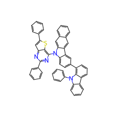 c1ccc(-c2nc(-n3c4ccc(-c5cccc6c7ccccc7n(-c7ccccc7)c56)cc4c4cc5ccccc5cc43)c3sc(-c4ccccc4)cc3n2)cc1